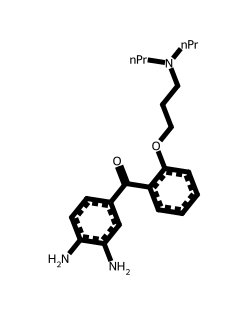 CCCN(CCC)CCCOc1ccccc1C(=O)c1ccc(N)c(N)c1